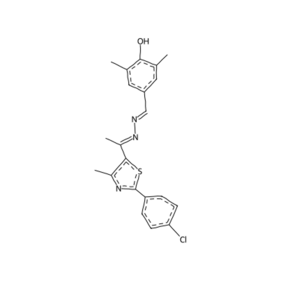 C/C(=N\N=C\c1cc(C)c(O)c(C)c1)c1sc(-c2ccc(Cl)cc2)nc1C